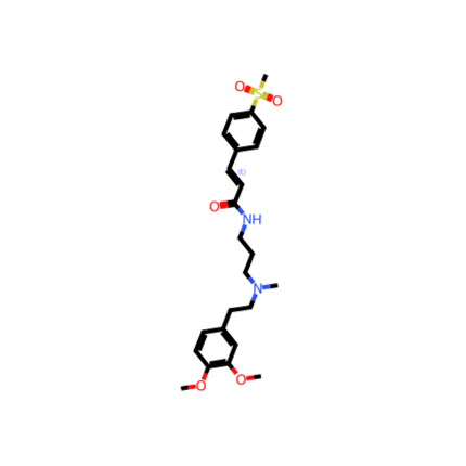 COc1ccc(CCN(C)CCCNC(=O)/C=C/c2ccc(S(C)(=O)=O)cc2)cc1OC